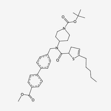 CCCCCC1=CCC(C(=O)N(Cc2ccc(-c3ccc(C(=O)OC)cc3)cc2)C2CCN(C(=O)OC(C)(C)C)CC2)S1